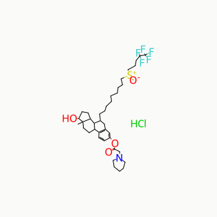 CC12CCC3c4ccc(OC(=O)CN5CCCCC5)cc4CC(CCCCCCCCC[S+]([O-])CCCC(F)(F)C(F)(F)F)C3C1CCC2O.Cl